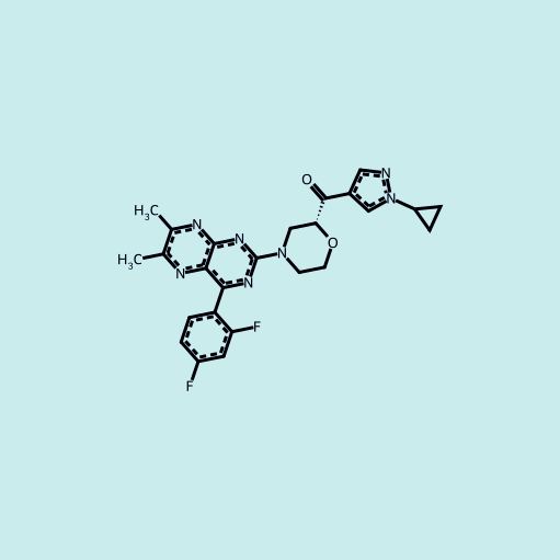 Cc1nc2nc(N3CCO[C@@H](C(=O)c4cnn(C5CC5)c4)C3)nc(-c3ccc(F)cc3F)c2nc1C